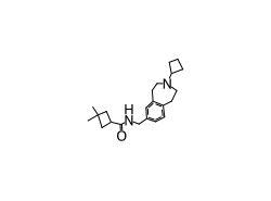 CC1(C)CC(C(=O)NCc2ccc3c(c2)CCN(C2CCC2)CC3)C1